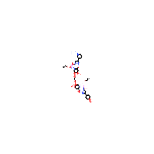 COc1ccc(C2=CN3C(=O)c4cc(OC)c(OCCCOc5cc6c(cc5OC)C(=O)N5C=C(c7cccc(N)c7)C[C@H]5C(=O)N6COCC[Si](C)(C)C)cc4N(COCC[Si](C)(C)C)C(=O)[C@@H]3C2)cc1